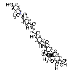 COc1c(NC(=O)c2ccc(NC(=O)c3ccc(NC(=O)CCNC(=O)c4ccc(NC(=O)/C(C)=C/c5ccc(O)cc5)cc4)cc3)c(OC)c2O)ccc(C(=O)O)c1O